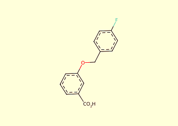 O=C(O)c1cccc(OCc2ccc(F)cc2)c1